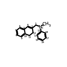 CN(CC1=Cc2ccccc2CC1)c1ccccc1